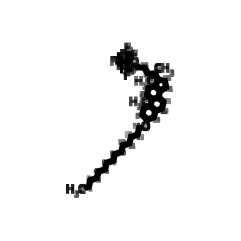 CCCCCCCCCCCCCCCOC1CCC2(C)C(CCC3C2CCC2(C)C(C(C)CCCOC(C(F)(F)F)(C(F)(F)F)C(F)(F)F)CCC32)C1